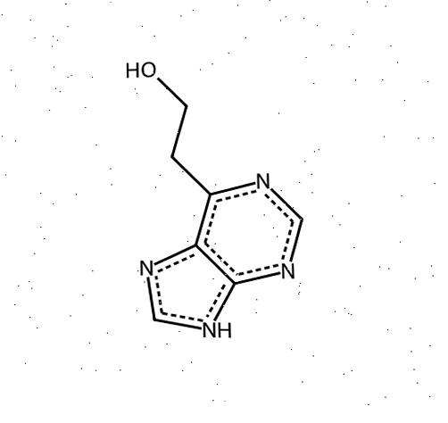 OCCc1ncnc2[nH]cnc12